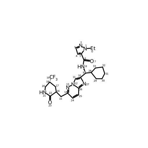 CCn1nccc1C(=O)N[C@H](c1cn2nc(CC3C[C@@H](C(F)(F)F)CNC3=O)ccc2n1)C1CCCCC1